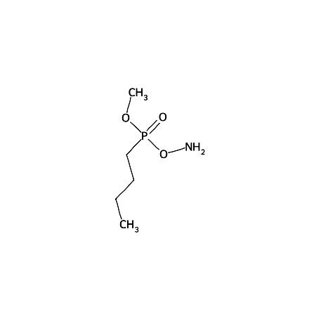 CCCCP(=O)(OC)ON